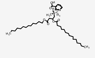 CCCCCCCCCCCCCCC(=O)OC(CC(=O)OCCCCCCCCCCCCC)C[N+](C)(C)C.O=C(O)c1cccnc1